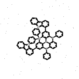 c1ccc(B2c3cccc4c3N3c5c2cc(-c2cccc6c2oc2ccccc26)cc5[Si](c2ccccc2)(c2ccccc2)c2cc(-c5cccc6c5oc5ccccc56)cc(c23)B4c2ccccc2)cc1